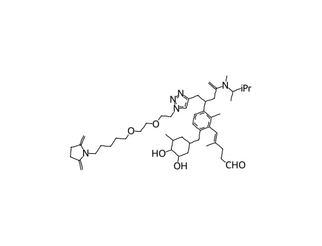 C=C1CCC(=C)N1CCCCCOCCOCCn1cc(CC(CC(=C)N(C)C(C)C(C)C)c2ccc(CC3CC(C)C(O)C(O)C3)c(/C=C(\C)CCC=O)c2C)nn1